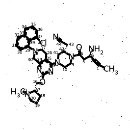 CC#C[C@H](N)CC(=O)N1CCN(c2nc(OC[C@@H]3CCCN3C)nc3c2CCN(c2cccc4cccc(Cl)c24)C3)C[C@@H]1CC#N